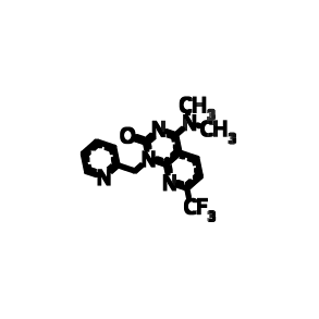 CN(C)c1nc(=O)n(Cc2ccccn2)c2nc(C(F)(F)F)ccc12